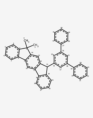 CC1(C)c2ccccc2-c2cc3c(cc21)C(c1nc(-c2ccccc2)cc(-c2ccccc2)n1)c1ccccc1-3